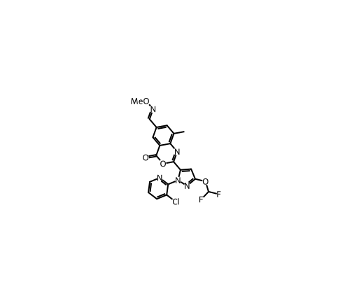 CON=Cc1cc(C)c2nc(-c3cc(OC(F)F)nn3-c3ncccc3Cl)oc(=O)c2c1